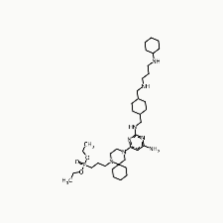 CCOP(=O)(CCCN1CCN(c2cc(N)nc(NCC3CCC(CNCCCNC4CCCCC4)CC3)n2)CC12CCCCC2)OCC